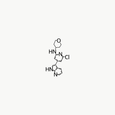 Clc1cc(-c2c[nH]c3ncccc23)cc(NC2CCOCC2)n1